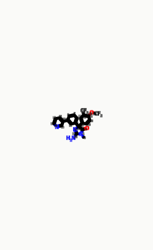 CN1C(=O)C(c2cccc(-c3cccnc3)c2)(c2ccc(OC(F)(F)F)c(C(F)(F)F)c2)N=C1N